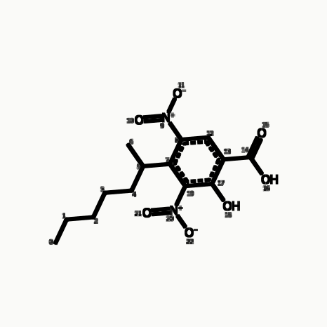 CCCCCC(C)c1c([N+](=O)[O-])cc(C(=O)O)c(O)c1[N+](=O)[O-]